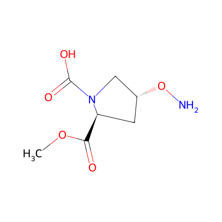 COC(=O)[C@@H]1C[C@@H](ON)CN1C(=O)O